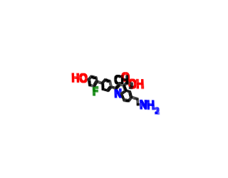 Cc1c(-c2ccc(-c3ccc(O)cc3F)cc2)nc2ccc(CCN)cc2c1C(=O)O